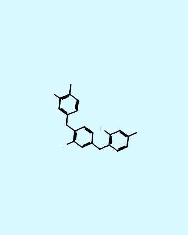 Cc1ccc(Cc2ccc(Cc3ccc(C)c(F)c3)c(F)c2)c(F)c1